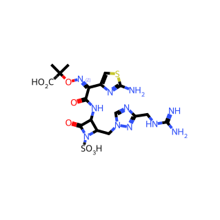 CC(C)(O/N=C(\C(=O)NC1C(=O)N(S(=O)(=O)O)C1Cn1cnc(CNC(=N)N)n1)c1csc(N)n1)C(=O)O